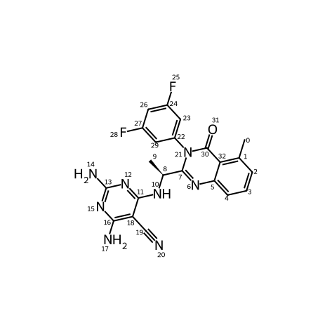 Cc1cccc2nc([C@H](C)Nc3nc(N)nc(N)c3C#N)n(-c3cc(F)cc(F)c3)c(=O)c12